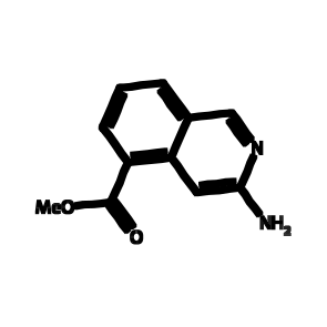 COC(=O)c1cccc2cnc(N)cc12